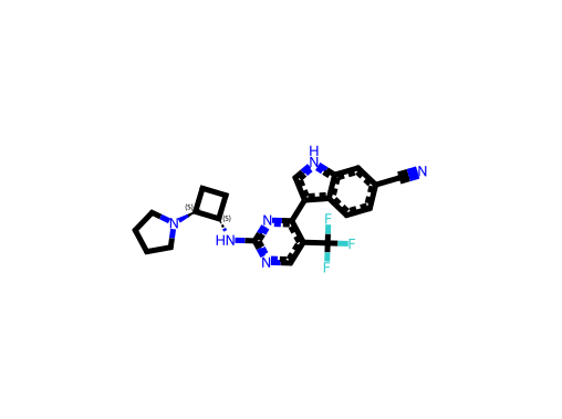 N#Cc1ccc2c(-c3nc(N[C@H]4CC[C@@H]4N4CCCC4)ncc3C(F)(F)F)c[nH]c2c1